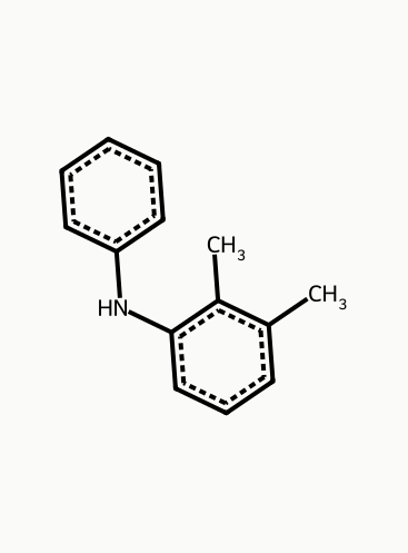 Cc1cccc(Nc2ccccc2)c1C